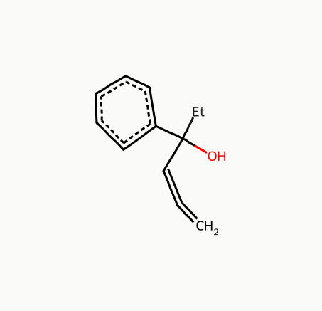 C=C=CC(O)(CC)c1ccccc1